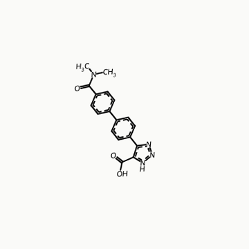 CN(C)C(=O)c1ccc(-c2ccc(-c3nn[nH]c3C(=O)O)cc2)cc1